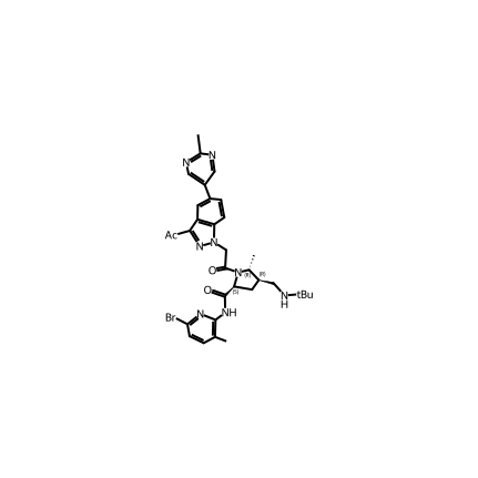 CC(=O)c1nn(CC(=O)N2[C@H](C)[C@@H](CNC(C)(C)C)C[C@H]2C(=O)Nc2nc(Br)ccc2C)c2ccc(-c3cnc(C)nc3)cc12